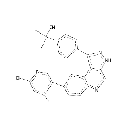 Cc1cc(Cl)ncc1-c1ccc2ncc3[nH]nc(-c4ccc(C(C)(C)C#N)cc4)c3c2c1